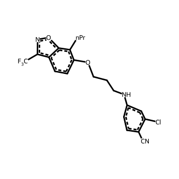 CCCc1c(OCCCNc2ccc(C#N)c(Cl)c2)ccc2c(C(F)(F)F)noc12